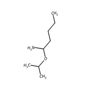 CCCCC([SiH3])OC(C)C